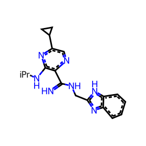 CC(C)Nc1nc(C2CC2)cnc1C(=N)NCc1nc2ccccc2[nH]1